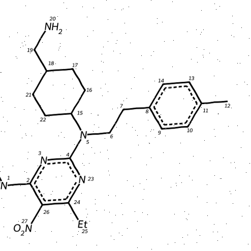 CCNc1nc(N(CCc2ccc(C)cc2)C2CCC(CN)CC2)nc(CC)c1[N+](=O)[O-]